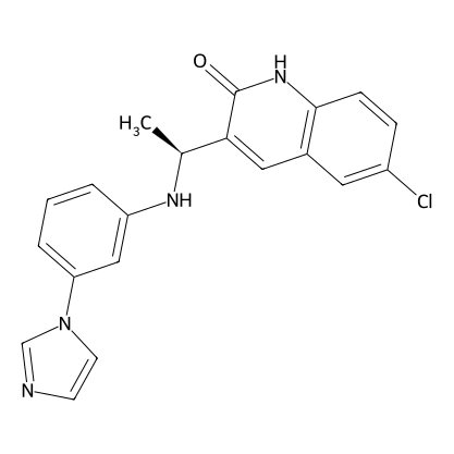 C[C@H](Nc1cccc(-n2ccnc2)c1)c1cc2cc(Cl)ccc2[nH]c1=O